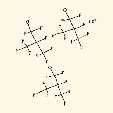 [Co+3].[O-]C(F)(F)C(F)(C(F)(F)F)C(F)(F)F.[O-]C(F)(F)C(F)(C(F)(F)F)C(F)(F)F.[O-]C(F)(F)C(F)(C(F)(F)F)C(F)(F)F